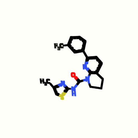 Cc1csc(NC(=O)N2CCCc3ccc(-c4cccc(C(F)(F)F)c4)nc32)n1